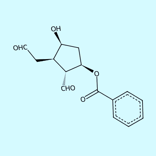 O=CC[C@@H]1[C@@H](C=O)[C@H](OC(=O)c2ccccc2)C[C@@H]1O